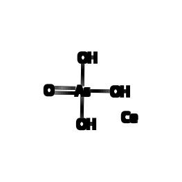 O=[As](O)(O)O.[Ce]